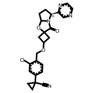 N#CC1(c2ccc(COC3CC4(C3)OC3CC[C@@H](c5cnccn5)N3C4=O)c(Cl)c2)CC1